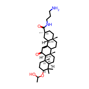 CC(O)O[C@H]1CC[C@]2(C)[C@H]3C(=O)C=C4C(CC[C@@]5(C)CC[C@](C)(C(=O)NCCCN)C[C@@H]45)[C@]3(C)CC[C@H]2C1(C)C